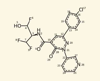 O=C(N[C@H](C(O)F)C(F)F)c1cc(-c2ccc(Cl)cc2)nn(-c2cccnc2)c1=O